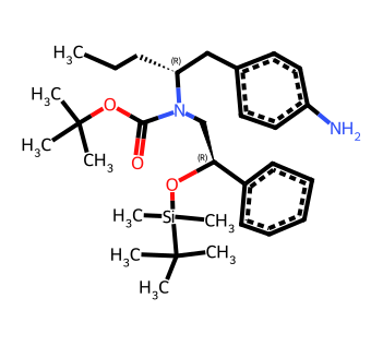 CCC[C@H](Cc1ccc(N)cc1)N(C[C@H](O[Si](C)(C)C(C)(C)C)c1ccccc1)C(=O)OC(C)(C)C